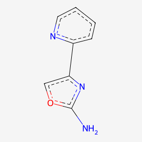 Nc1nc(-c2ccccn2)co1